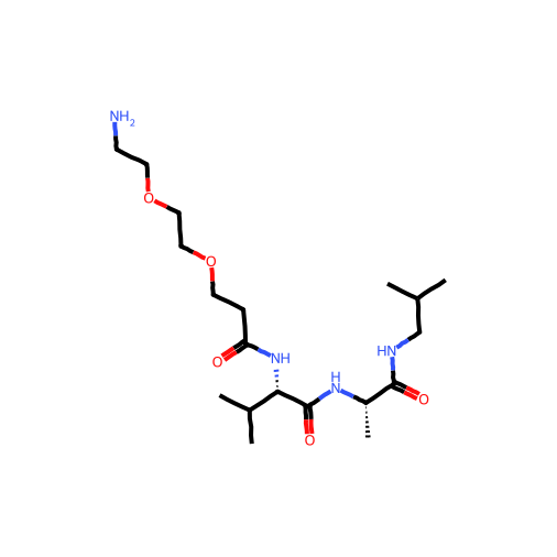 CC(C)CNC(=O)[C@H](C)NC(=O)[C@@H](NC(=O)CCOCCOCCN)C(C)C